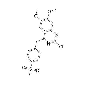 COc1cc2nc(Cl)nc(Cc3ccc(S(C)(=O)=O)cc3)c2cc1OC